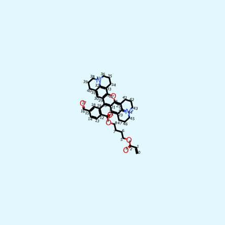 C=CC(=O)OCCCCOC(=O)c1ccc(C=O)cc1C1=c2cc3c4c(c2Oc2c1cc1c5c2CCCN5CCC1)CCC[N+]=4CCC3